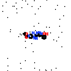 CC(C)(C)OC(=O)N1CCC(n2cc(-c3cc(-c4ccccc4O)nnc3N)nn2)CC1